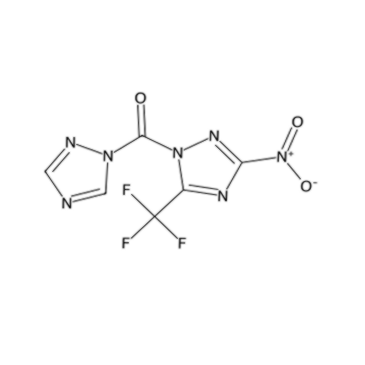 O=C(n1cncn1)n1nc([N+](=O)[O-])nc1C(F)(F)F